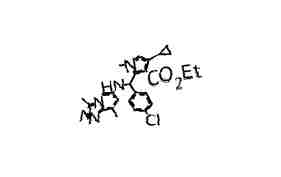 CCOC(=O)c1c(C2CC2)cn(C)c1C(Nc1cc(C)c2nnc(C)n2c1)c1ccc(Cl)cc1